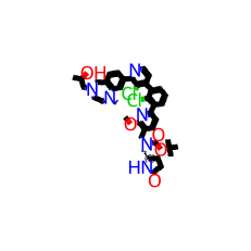 COc1nc(-c2cccc(-c3ccnc(-c4ccc5c(c4)N(C)CCN(CC(C)O)C5)c3Cl)c2Cl)ccc1CN(C[C@@H]1CCC(=O)N1)C(=O)OC(C)(C)C